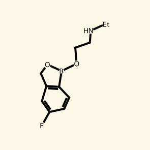 CCNCCOB1OCc2cc(F)ccc21